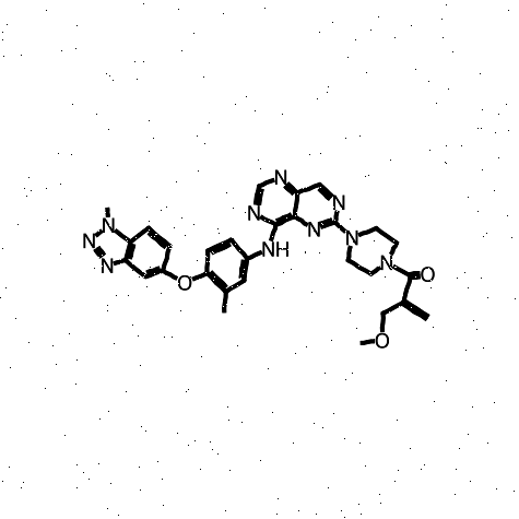 C=C(COC)C(=O)N1CCN(c2ncc3ncnc(Nc4ccc(Oc5ccc6c(c5)nnn6C)c(C)c4)c3n2)CC1